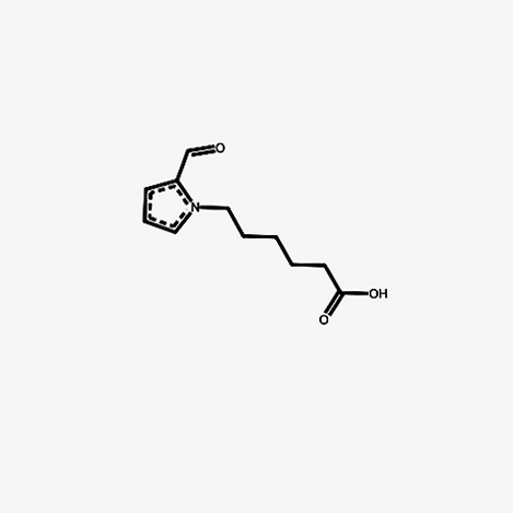 O=Cc1cccn1CCCCCC(=O)O